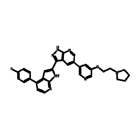 Fc1ccc(-c2ccnc3[nH]c(-c4n[nH]c5ncc(-c6cncc(OCCN7CCCC7)c6)cc45)cc23)cc1